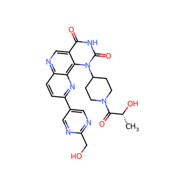 C[C@@H](O)C(=O)N1CCC(n2c(=O)[nH]c(=O)c3cnc4ccc(-c5cnc(CO)nc5)nc4c32)CC1